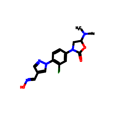 CC(=O)N(C)C1CN(c2ccc(-n3cc(C=NO)cn3)c(F)c2)C(=O)O1